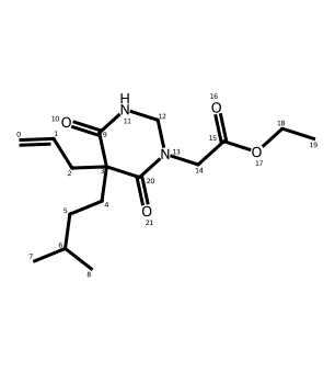 C=CCC1(CCC(C)C)C(=O)NCN(CC(=O)OCC)C1=O